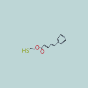 O=C(/C=C/C=C/c1ccccc1)OCCS